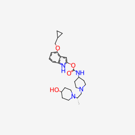 C[C@@H](CN1CCC(NC(=O)Oc2cc3c(OCC4CC4)cccc3[nH]2)CC1)N1CCC(O)CC1